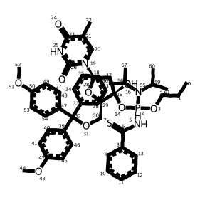 CCCO[PH](NC(=S)c1ccccc1)(O[C@@]1(O)C[C@H](n2cc(C)c(=O)[nH]c2=O)O[C@@H]1COC(c1ccccc1)(c1ccc(OC)cc1)c1ccc(OC)cc1)N(C(C)C)C(C)C